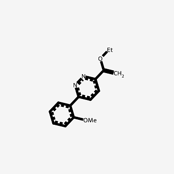 C=C(OCC)c1ccc(-c2ccccc2OC)nn1